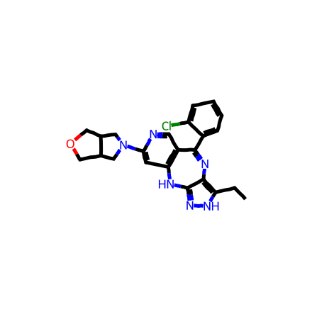 CCc1[nH]nc2c1N=C(c1ccccc1Cl)c1cnc(N3CC4COCC4C3)cc1N2